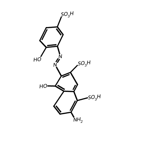 Nc1ccc2c(O)c(N=Nc3cc(S(=O)(=O)O)ccc3O)c(S(=O)(=O)O)cc2c1S(=O)(=O)O